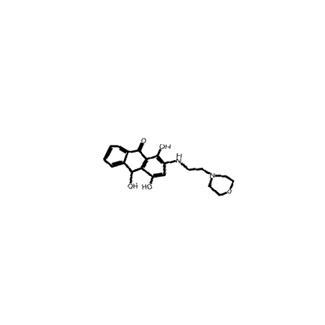 O=C1c2ccccc2C(O)c2c(O)cc(NCCN3CCOCC3)c(O)c21